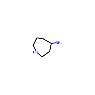 NC1CCCNCC1